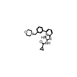 O=C(NC1N=C2C=CC=C(c3cccc(CN4CCOCC4)c3)N2N1)C1CC1